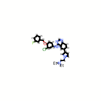 CCN(CC)CCn1ccc(-c2ccc3ncnc(Nc4ccc(OCc5cccc(F)c5)c(Cl)c4)c3c2)c1